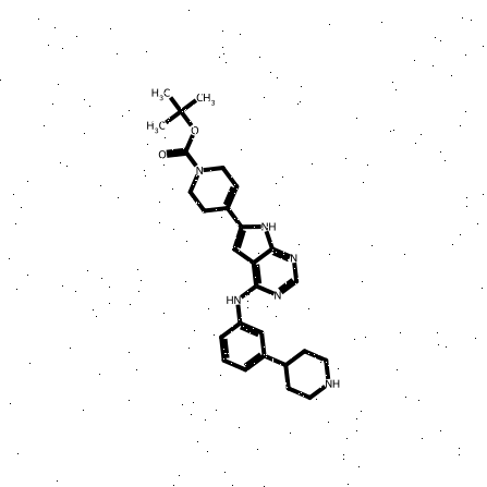 CC(C)(C)OC(=O)N1CC=C(c2cc3c(Nc4cccc(C5CCNCC5)c4)ncnc3[nH]2)CC1